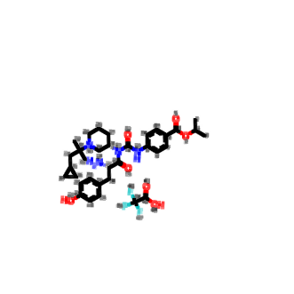 CC(C)OC(=O)c1ccc(NC(=O)N(C(=O)[C@@H](N)Cc2ccc(O)cc2)[C@H]2CCCN(C(C)(C)CC3CC3)C2)cc1.O=C(O)C(F)(F)F